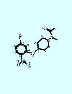 CC(=O)N(C)[C@H]1CC[C@@H](Oc2cc(F)ccc2[N+](=O)[O-])CC1